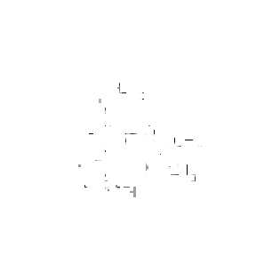 COC1O[C@]2(CC[C@@H]2O)C2OC(C)(C)OC12